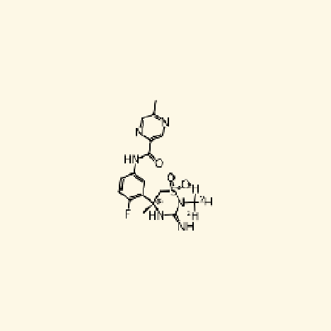 [2H]C([2H])([2H])N1C(=N)N[C@](C)(c2cc(NC(=O)c3cnc(C)cn3)ccc2F)CS1(=O)=O